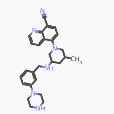 CC1CC(NCc2cccc(N3CCNCC3)c2)CN(c2ccc(C#N)c3ncccc23)C1